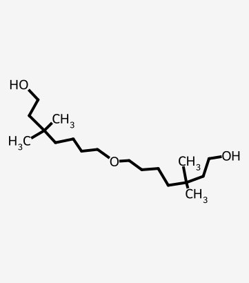 CC(C)(CCO)CCCCOCCCCC(C)(C)CCO